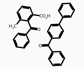 Cc1cccc(C(=O)O)c1C(=O)c1ccccc1.O=C(c1ccccc1)c1ccc(-c2ccccc2)cc1